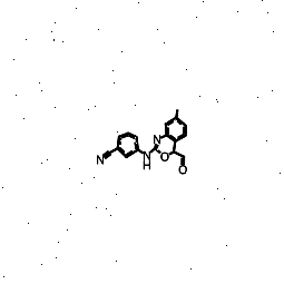 Cc1ccc2c(c1)N=C(Nc1cccc(C#N)c1)OC2C=O